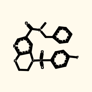 CN(Cc1ccccc1)C(=O)c1cnc2c(c1)N(S(=O)(=O)c1ccc(F)cc1)CCO2